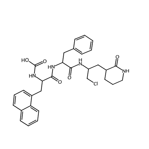 O=C(O)NC(Cc1cccc2ccccc12)C(=O)NC(Cc1ccccc1)C(=O)NC(CCl)CC1CCCNC1=O